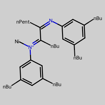 CCCCCC(=Nc1cc(CCCC)cc(CCCC)c1)C(CCCC)=[N+]([Ni])c1cc(CCCC)cc(CCCC)c1